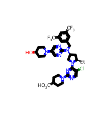 CC[C@@H]1C[C@H](N(Cc2cc(C(F)(F)F)cc(C(F)(F)F)c2)c2ncc(N3CCC(O)CC3)cn2)CN1c1nc(N2CCC(C(=O)O)CC2)ncc1Cl